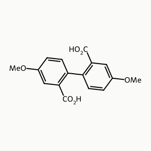 COc1ccc(-c2ccc(OC)cc2C(=O)O)c(C(=O)O)c1